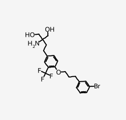 NC(CO)(CO)CCc1ccc(OCCCc2cccc(Br)c2)c(C(F)(F)F)c1